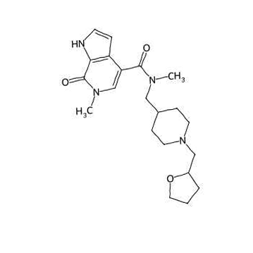 CN(CC1CCN(CC2CCCO2)CC1)C(=O)c1cn(C)c(=O)c2[nH]ccc12